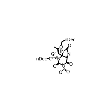 CCCCCCCCCCCOC(C)CC12NC(=O)N=C1C(=O)N(P(=O)=O)C(=O)N2[S+]([O-])CCCCCCCCCCC